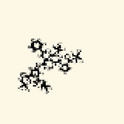 C[C@@H](C(=O)N1CCC[C@H]1C(=O)OC(C)(C)C)N(C(=O)OC(C)(C)C)[C@@H](CCc1ccccc1)C(=O)O[C@@H]1C[C@@H](C(=O)OC(C)(C)C)N(C(=O)OC(C)(C)C)C1